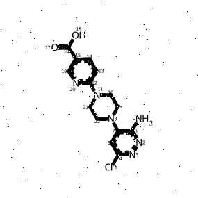 Nc1nnc(Cl)cc1N1CCN(c2ccc(C(=O)O)cn2)CC1